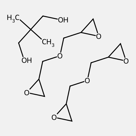 C(OCC1CO1)C1CO1.C(OCC1CO1)C1CO1.CC(C)(CO)CO